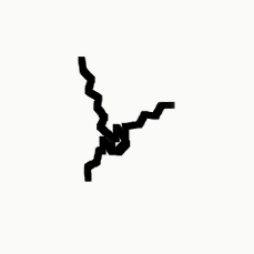 CCCCCCCCC1N(CCCC)C=CN1CCCCCC